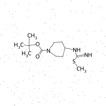 CSC(=N)NC1CCN(C(=O)OC(C)(C)C)CC1